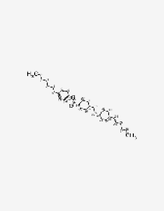 CCCCCCCc1ccc(OC(=O)[C@H]2CC[C@H](CC[C@H]3CC[C@H](CCCCCC)CC3)CC2)cn1